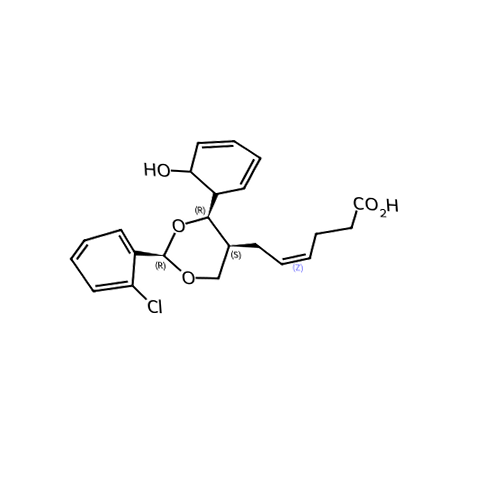 O=C(O)CC/C=C\C[C@H]1CO[C@@H](c2ccccc2Cl)O[C@H]1C1C=CC=CC1O